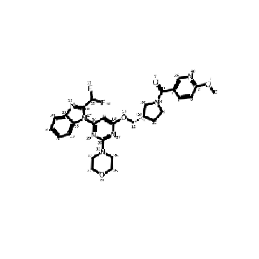 COc1ccc(C(=O)N2CC[C@H](COc3cc(-n4c(C(F)F)nc5ccccc54)nc(N4CCOCC4)n3)C2)cn1